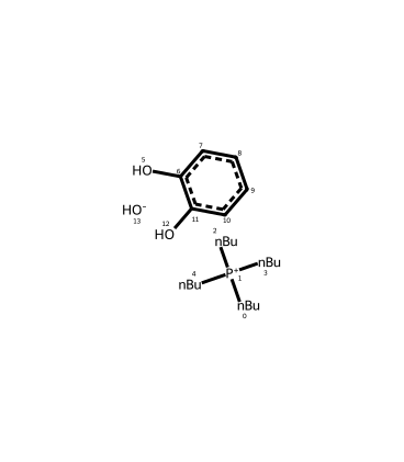 CCCC[P+](CCCC)(CCCC)CCCC.Oc1ccccc1O.[OH-]